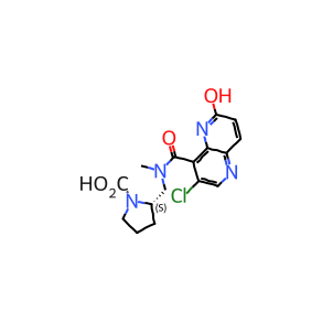 CN(C[C@@H]1CCCN1C(=O)O)C(=O)c1c(Cl)cnc2ccc(O)nc12